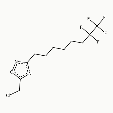 FC(F)(F)C(F)(F)CCCCCCc1noc(CCl)n1